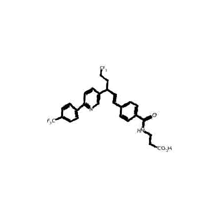 O=C(O)CCNC(=O)c1ccc(C=CC(CCC(F)(F)F)c2ccc(-c3ccc(C(F)(F)F)cc3)nc2)cc1